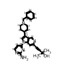 CC(C)(O)C#Cc1cc2c(cn1)c(C1CCN(Cc3ccccc3)CC1)cn2-c1ccnc(N)n1